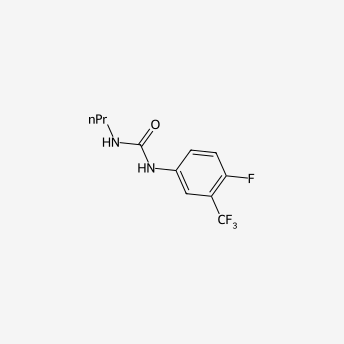 CCCNC(=O)Nc1ccc(F)c(C(F)(F)F)c1